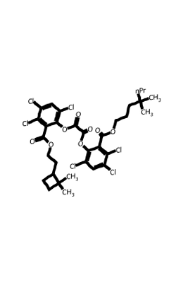 CCCC(C)(C)CCCOC(=O)c1c(Cl)c(Cl)cc(Cl)c1OC(=O)C(=O)Oc1c(Cl)cc(Cl)c(Cl)c1C(=O)OCCC1CCC1(C)C